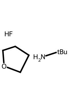 C1CCOC1.CC(C)(C)N.F